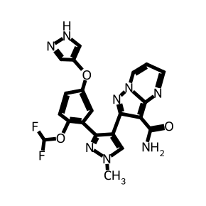 Cn1cc(-c2nn3cccnc3c2C(N)=O)c(-c2cc(Oc3cn[nH]c3)ccc2OC(F)F)n1